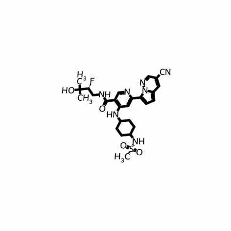 CC(C)(O)[C@H](F)CNC(=O)c1cnc(-c2ccc3cc(C#N)cnn23)cc1NC1CCC(NS(C)(=O)=O)CC1